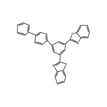 c1ccc(-c2ccc(-c3cc(-c4nc5ccccc5s4)cc(-c4nc5ccccc5s4)c3)cc2)cc1